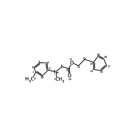 Cc1cccc(N(C)CC(=O)OCCc2ccccc2)c1